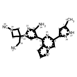 Cc1cc(-c2cn3nccc3c(-c3cn(C4(CC#N)CN(C#N)C4)nc3N)n2)n[nH]1